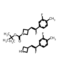 Cc1ccc(C(F)=CC2CN(C(=O)OC(C)(C)C)C2)cc1F.Cc1ccc(C(F)=CC2CNC2)cc1F